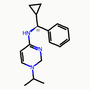 CC(C)N1C=CC(N[C@H](c2ccccc2)C2CC2)=NC1